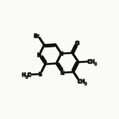 CSc1nc(Br)cn2c(=O)c(C)c(C)nc12